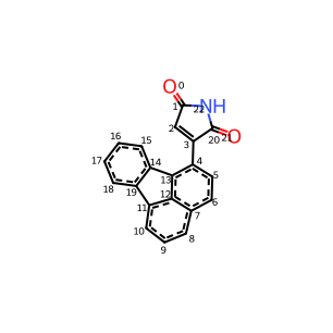 O=C1C=C(c2ccc3cccc4c3c2-c2ccccc2-4)C(=O)N1